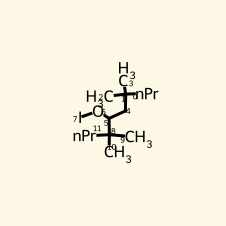 CCCC(C)(C)CC(OI)C(C)(C)CCC